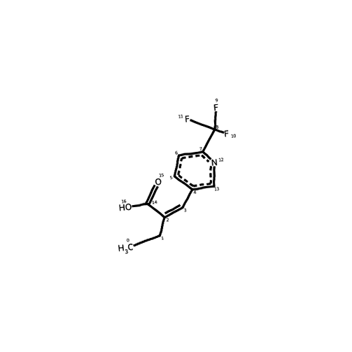 CCC(=Cc1ccc(C(F)(F)F)nc1)C(=O)O